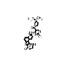 CN(C)[C@@H]1CCN(C(=O)c2cnc(Cl)nc2Nc2ccc3c(ccc4sc5c(c43)NCCNC5=O)n2)C1